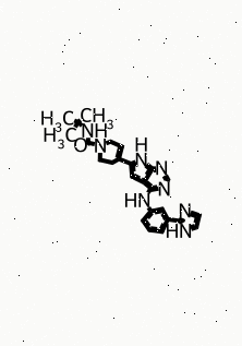 CC(C)(C)NC(=O)N1CC=C(c2cc3c(Nc4cccc(-c5ncc[nH]5)c4)ncnc3[nH]2)CC1